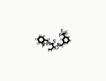 CCC(ON=Cc1cccc(C(F)(F)F)c1)C(=S)NCc1ccccc1F